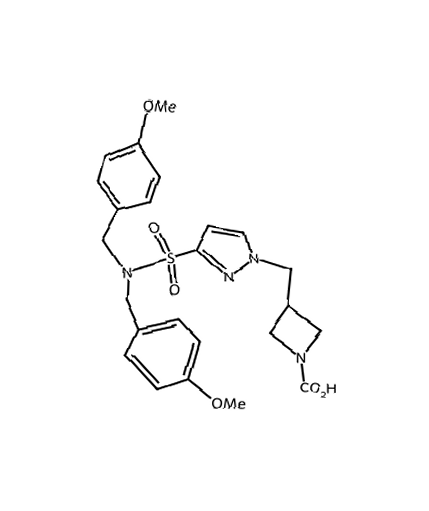 COc1ccc(CN(Cc2ccc(OC)cc2)S(=O)(=O)c2ccn(CC3CN(C(=O)O)C3)n2)cc1